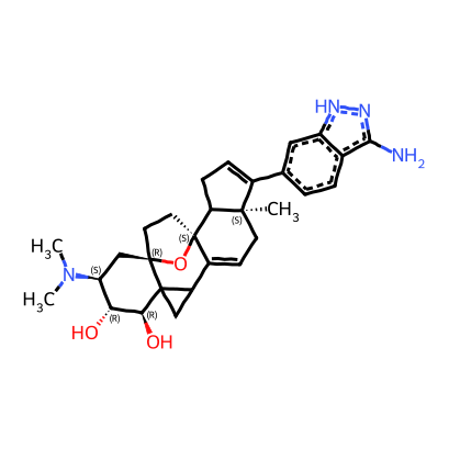 CN(C)[C@H]1C[C@@]23CC[C@@]4(O2)C(=CC[C@]2(C)C(c5ccc6c(N)n[nH]c6c5)=CCC24)C2CC23[C@@H](O)[C@@H]1O